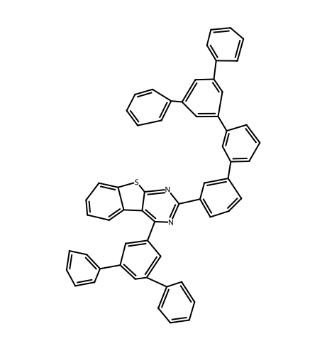 c1ccc(-c2cc(-c3ccccc3)cc(-c3cccc(-c4cccc(-c5nc(-c6cc(-c7ccccc7)cc(-c7ccccc7)c6)c6c(n5)sc5ccccc56)c4)c3)c2)cc1